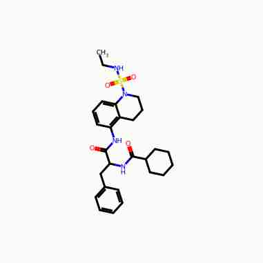 CCNS(=O)(=O)N1CCCc2c(NC(=O)C(Cc3ccccc3)NC(=O)C3CCCCC3)cccc21